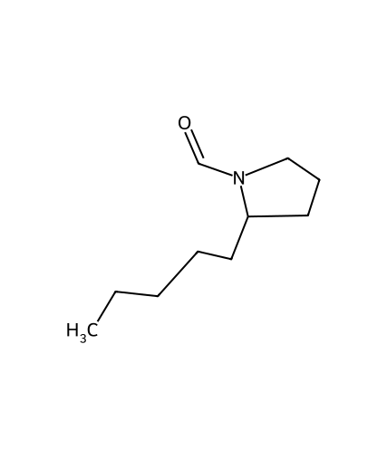 CCCCCC1CCCN1C=O